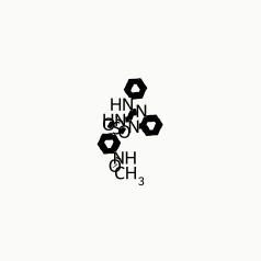 CONc1cccc(S(=O)(=O)Nc2nc3ccccc3nc2Nc2ccccc2)c1